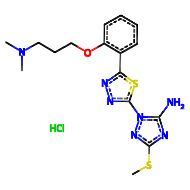 CSc1nc(N)n(-c2nnc(-c3ccccc3OCCCN(C)C)s2)n1.Cl